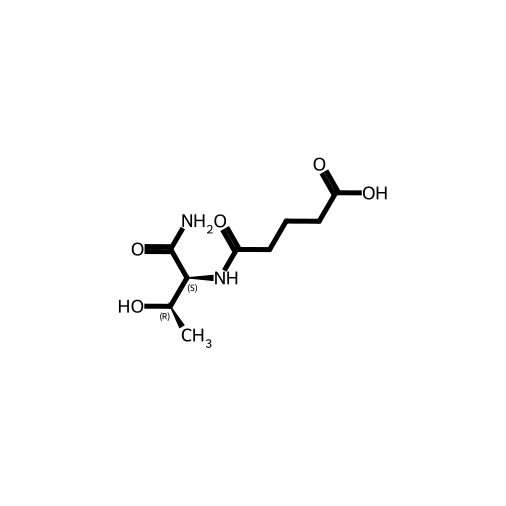 C[C@@H](O)[C@H](NC(=O)CCCC(=O)O)C(N)=O